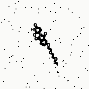 O=C1CCC(N2C(=O)c3ccc(OCCOCCOSI)cc3C2=O)C(=O)N1